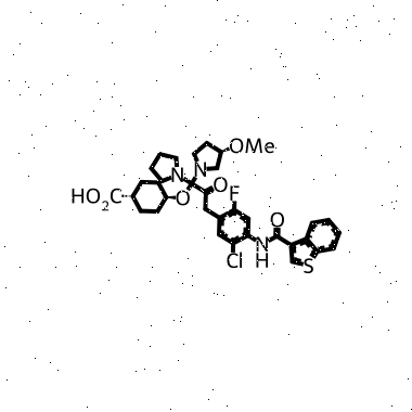 CO[C@@H]1CCN(C(O[C@H]2CC[C@H](C(=O)O)CC2)(C(=O)Cc2cc(Cl)c(NC(=O)c3csc4ccccc34)cc2F)N2CCCC2)C1